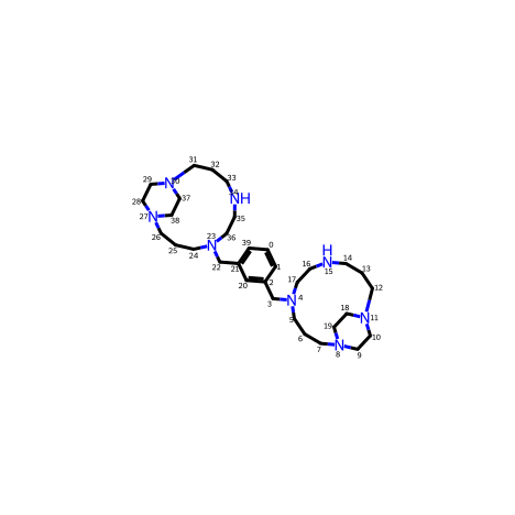 c1cc(CN2CCCN3CCN(CCCNCC2)CC3)cc(CN2CCCN3CCN(CCCNCC2)CC3)c1